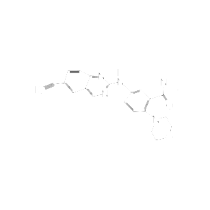 C#Cc1ccc2nc(Nc3ccc(N4CCOCC4)c(C(N)=O)c3)ncc2c1